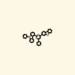 c1ccc(-c2cc(-c3ccc4c(c3)oc3ccccc34)nc(-c3cccc4c3c3ccccc3n4-c3ccccc3)n2)cc1